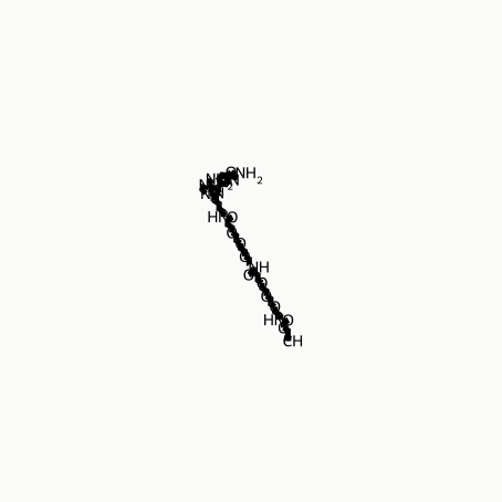 C#CCOC(=O)NCCOCCOCCOCCC(=O)NCCOCCOCCOCCC(=O)NCCCCn1nc(-c2ccc3oc(N)nc3c2)c2c(N)ncnc21